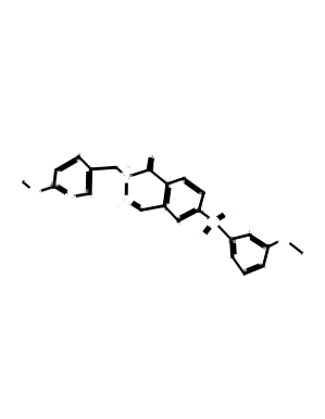 COc1cccc(S(=O)(=O)c2ccc3c(=O)n(Cc4ccc(OC)nc4)ncc3c2)c1